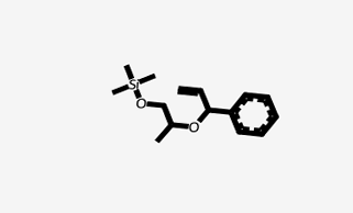 C=CC(OC(C)CO[Si](C)(C)C)c1ccccc1